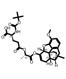 COc1ccc2c3c1O[C@H]1C(OC(=O)[C@H](C)OC(=O)CC[C@H](NC(=O)OC(C)(C)C)C(=O)O)=CC[C@@]4(O)[C@@H](C2)N(C)CC[C@]314